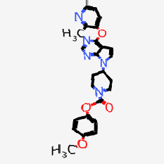 COc1ccc(OC(=O)N2CCC(n3ccc4c(Oc5cccnc5C)ncnc43)CC2)cc1